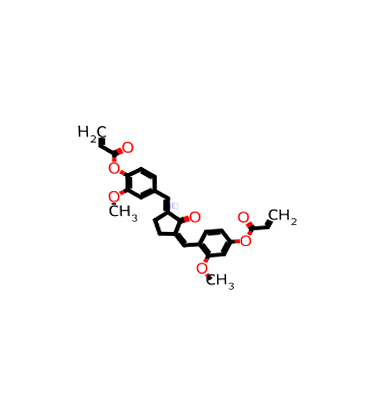 C=CC(=O)Oc1ccc(C=C2CC/C(=C\c3ccc(OC(=O)C=C)c(OC)c3)C2=O)c(OC)c1